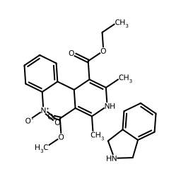 CCOC(=O)C1=C(C)NC(C)=C(C(=O)OC)C1c1ccccc1[N+](=O)[O-].c1ccc2c(c1)CNC2